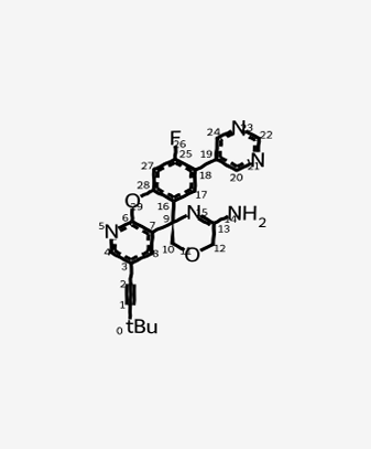 CC(C)(C)C#Cc1cnc2c(c1)[C@]1(COCC(N)=N1)c1cc(-c3cncnc3)c(F)cc1O2